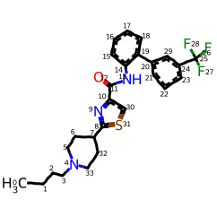 CCCCN1CCC(c2nc(C(=O)Nc3ccccc3-c3cccc(C(F)(F)F)c3)cs2)CC1